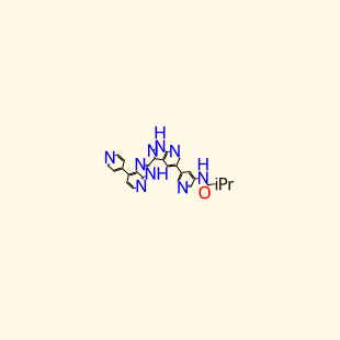 CC(C)C(=O)Nc1cncc(-c2cnc3[nH]nc(-c4nc5c(-c6ccncc6)ccnc5[nH]4)c3c2)c1